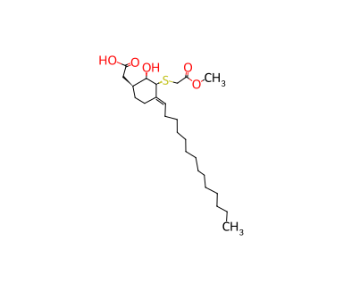 CCCCCCCCCCCCC/C=C1\CC[C@@H](CC(=O)O)[C@@H](O)[C@H]1SCC(=O)OC